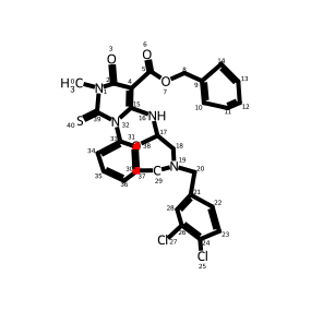 Cn1c(=O)c(C(=O)OCc2ccccc2)c(NC2CN(Cc3ccc(Cl)c(Cl)c3)CCO2)n(-c2ccccc2)c1=S